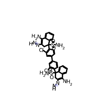 [H]/N=N/C1=C(N)c2ccccc2C(c2ccc(-c3ccc(C4(S(N)(=O)=O)CC(/N=N/[H])=C(N)c5ccccc54)c(Cl)c3)cc2Cl)(S(N)(=O)=O)C1